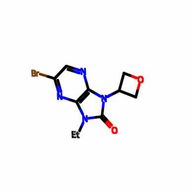 CCn1c(=O)n(C2COC2)c2ncc(Br)nc21